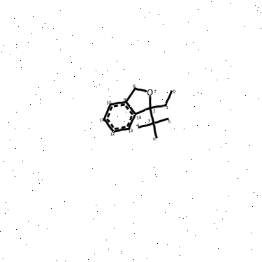 CCC1(C(C)(C)C)OCc2ccccc21